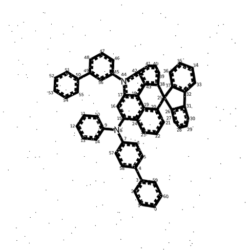 c1ccc(-c2ccc(N(c3ccccc3)c3cc4c5c6c(cccc36)C3(c6ccccc6-c6ccccc63)c3cccc(c35)n4-c3cccc(-c4ccccc4)c3)cc2)cc1